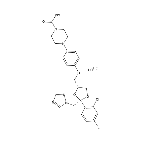 CCCC(=O)N1CCN(c2ccc(OC[C@@H]3CO[C@@](Cn4cncn4)(c4ccc(Cl)cc4Cl)O3)cc2)CC1.Cl.Cl